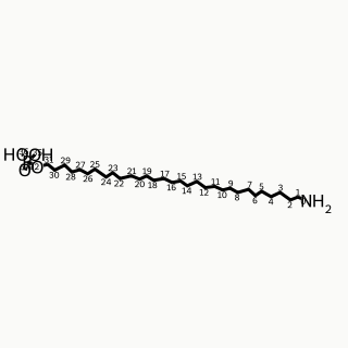 NCCCCCCCCCCCCCCCCCCCCCCCCCCCCCCCOP(=O)(O)O